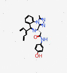 C=C/C=C(\C=C)C1=N[C@@H](CC(=O)Nc2ccc(O)cc2)c2nnc(C)n2-c2ccccc21